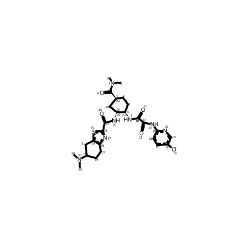 CN(C)C(=O)[C@H]1CC[C@H](NC(=O)C(=O)Nc2ccc(Cl)cn2)[C@H](NC(=O)c2nc3c(s2)CC(N(C)C)CC3)C1